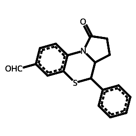 O=Cc1ccc2c(c1)SC(c1ccccc1)C1CCC(=O)N21